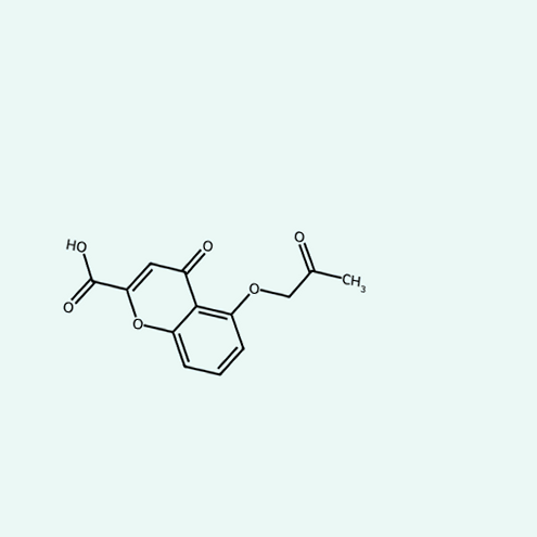 CC(=O)COc1cccc2oc(C(=O)O)cc(=O)c12